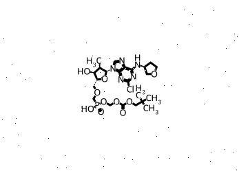 C[C@@H]1[C@H](O)[C@@H](COCP(=O)(O)OCOC(=O)OCC(C)(C)C)O[C@H]1n1cnc2c(N[C@H]3CCOC3)nc(Cl)nc21